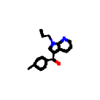 C=CCn1cc(C(=O)c2ccc(C)cc2)c2cccnc21